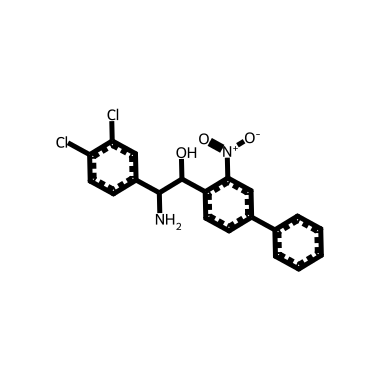 NC(c1ccc(Cl)c(Cl)c1)C(O)c1ccc(-c2ccccc2)cc1[N+](=O)[O-]